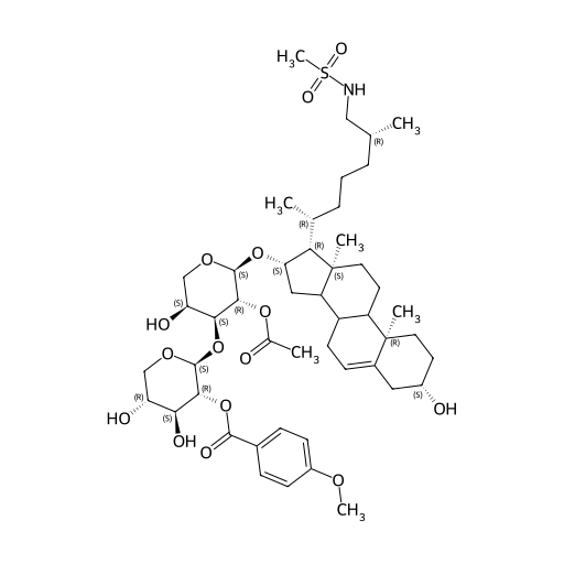 COc1ccc(C(=O)O[C@H]2[C@H](O[C@@H]3[C@@H](OC(C)=O)[C@H](O[C@H]4CC5C6CC=C7C[C@@H](O)CC[C@]7(C)C6CC[C@]5(C)[C@H]4[C@H](C)CCC[C@@H](C)CNS(C)(=O)=O)OC[C@@H]3O)OC[C@@H](O)[C@@H]2O)cc1